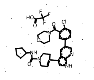 O=C(NC1CCCC1)N1CC=C(c2c[nH]c3ncc(-c4ccc(Cl)c(C(=O)N5CCOCC5)c4)cc23)CC1.O=C(O)C(F)(F)F